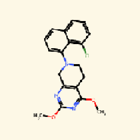 COc1nc2c(c(OC)n1)CCN(c1cccc3cccc(Cl)c13)C2